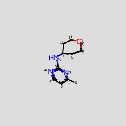 Cc1ccnc(NC2CCOCC2)n1